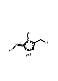 CC(C)/N=c1\scc(CCl)n1C(C)C.Cl